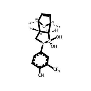 C[C@]12C=C[C@](C)(O1)[C@@H]1[C@@H]2CN(c2ccc(C#N)c(C(F)(F)F)c2)S1(O)O